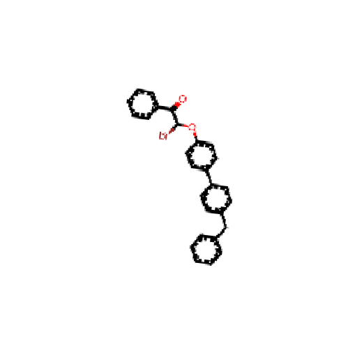 O=C(c1ccccc1)C(Br)Oc1ccc(-c2ccc([CH]c3ccccc3)cc2)cc1